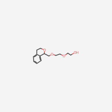 OCCOCCOCC1OCCc2ccccc21